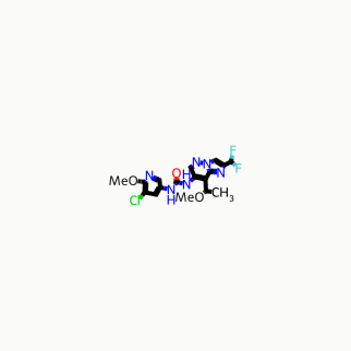 COc1ncc(NC(=O)Nc2cnn3cc(C(F)F)nc3c2C(C)OC)cc1Cl